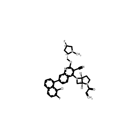 C=CC(=O)N1CC[C@@H]2[C@H]1CN2c1c(C#N)c(OC[C@@H]2C[C@@H](F)CN2C)nc2cc(-c3cccc4ccc(F)c(Cl)c34)ccc12